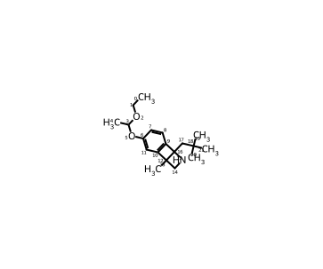 CCOC(C)Oc1ccc2c(c1)C1(C)CNC21CC(C)(C)C